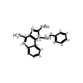 CCCCc1nc2c(N)nc3ccccc3c2n1NCc1ccccc1